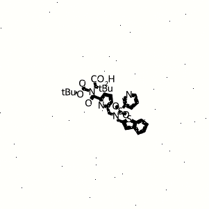 CC(C)(C)OC(=O)N(C(=O)c1cccc(CN(Cc2cc3ccccc3s2)S(=O)(=O)c2cccnc2)n1)C(C(=O)O)C(C)(C)C